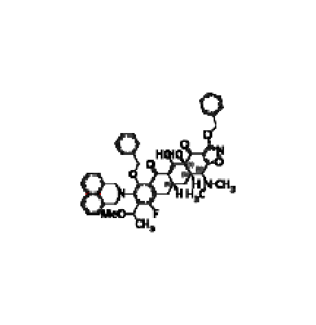 COC(C)c1c(F)c2c(c(OCc3ccccc3)c1N(Cc1ccccc1)Cc1ccccc1)C(=O)C1=C(O)[C@]3(O)C(=O)c4c(OCc5ccccc5)noc4[C@@H](N(C)C)[C@@H]3C[C@@H]1C2